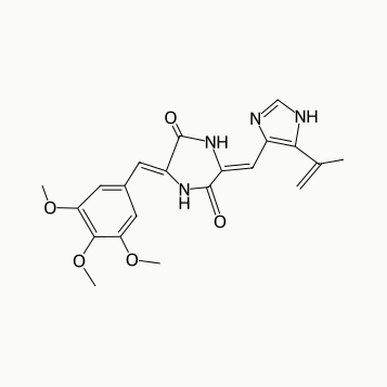 C=C(C)c1[nH]cnc1/C=c1\[nH]c(=O)/c(=C/c2cc(OC)c(OC)c(OC)c2)[nH]c1=O